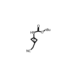 CCCCOC(=O)NC12CC(CC#N)(C1)C2